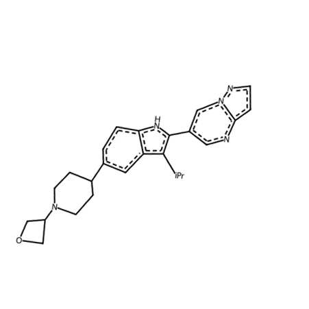 CC(C)c1c(-c2cnc3ccnn3c2)[nH]c2ccc(C3CCN(C4COC4)CC3)cc12